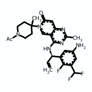 C=C[C@@H](Nc1nc(C)nc2cc(=O)n(C3(C)CCN(C(C)=O)CC3)cc12)c1cc(N)cc(C(F)F)c1F